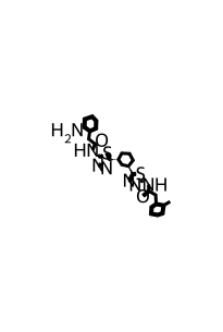 Cc1ccccc1CC(=O)Nc1nnc([C@@H]2CCC[C@@H](c3nnc(NC(=O)Cc4ccccc4N)s3)C2)s1